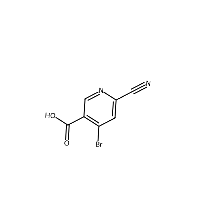 N#Cc1cc(Br)c(C(=O)O)cn1